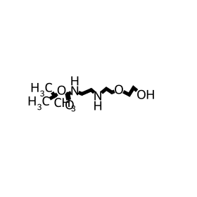 CC(C)(C)OC(=O)NCCNCCOCCO